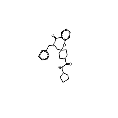 O=C(NC1CCCC1)N1CCC2(CC1)CN(Cc1ccccc1)C(=O)c1ccccc1O2